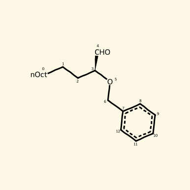 CCCCCCCCCC[C@@H](C=O)OCc1ccccc1